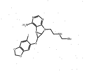 CC(C)(C)CNCCN1c2ncnc(N)c2N2C(Sc3cc4c(cc3I)OCO4)C12